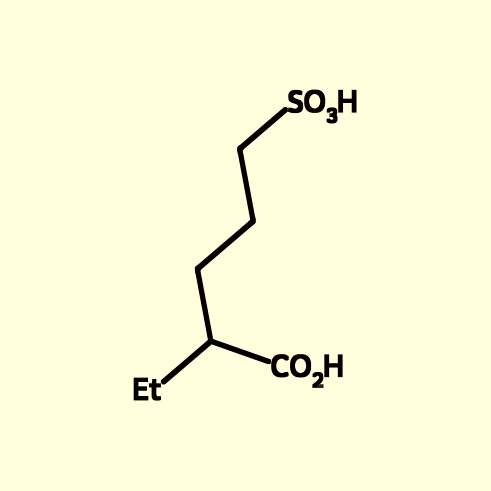 CCC(CCCS(=O)(=O)O)C(=O)O